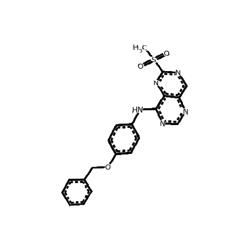 CS(=O)(=O)c1ncc2ncnc(Nc3ccc(OCc4ccccc4)cc3)c2n1